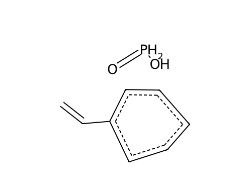 C=Cc1ccccc1.O=[PH2]O